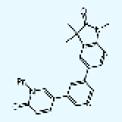 CC(C)n1cc(-c2cncc(-c3cnc4c(c3)C(C)(C)C(=O)N4C)c2)ccc1=O